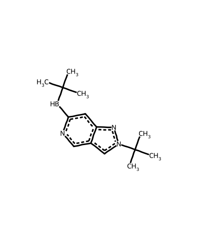 CC(C)(C)Bc1cc2nn(C(C)(C)C)cc2cn1